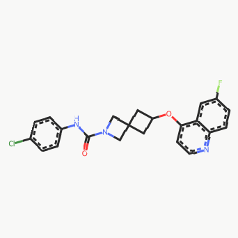 O=C(Nc1ccc(Cl)cc1)N1CC2(CC(Oc3ccnc4ccc(F)cc34)C2)C1